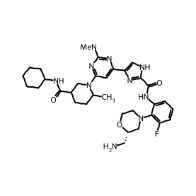 CNc1nc(-c2c[nH]c(C(=O)Nc3cccc(F)c3N3CCO[C@@H](CN)C3)n2)cc(N2CC(C(=O)NC3CCCCC3)CCC2C)n1